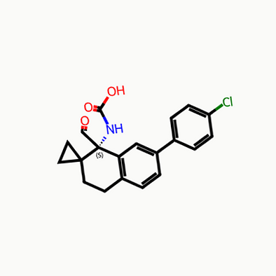 O=C[C@@]1(NC(=O)O)c2cc(-c3ccc(Cl)cc3)ccc2CCC12CC2